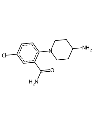 NC(=O)c1cc(Cl)ccc1N1CCC(N)CC1